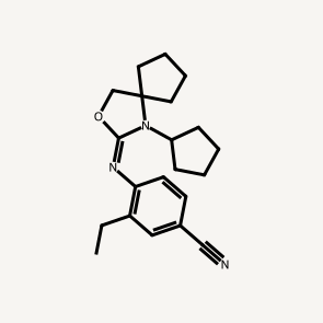 CCc1cc(C#N)ccc1/N=C1/OCC2(CCCC2)N1C1CCCC1